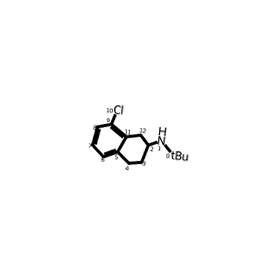 CC(C)(C)NC1CCc2cccc(Cl)c2C1